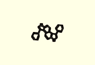 c1ccc(-c2coc3ccc4c(ccc5occ(-c6ccccc6)c54)c23)cc1